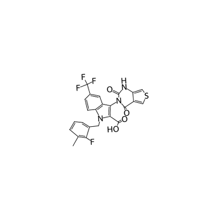 Cc1cccc(Cn2c(C(=O)O)c(-n3c(=O)[nH]c4cscc4c3=O)c3cc(C(F)(F)F)ccc32)c1F